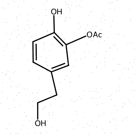 CC(=O)Oc1cc(CCO)ccc1O